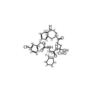 O=CC(O)(CCC(=O)N1CCNc2ccccc2C1)NC(=O)[C@H](CC1CCCCC1)NC(=O)OCc1cccc(Cl)c1